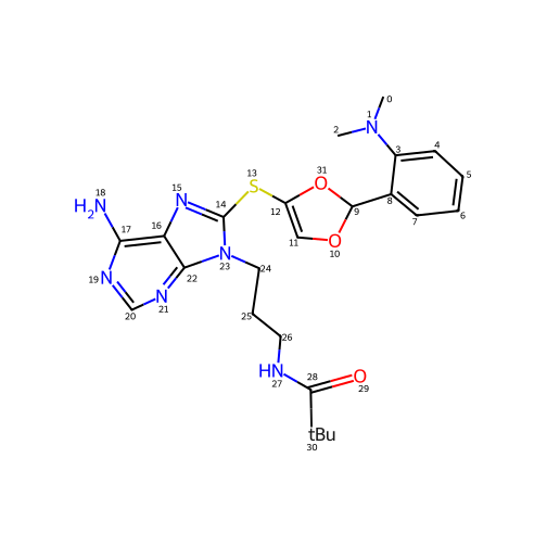 CN(C)c1ccccc1C1OC=C(Sc2nc3c(N)ncnc3n2CCCNC(=O)C(C)(C)C)O1